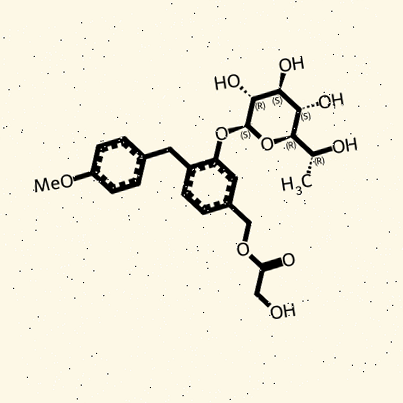 COc1ccc(Cc2ccc(COC(=O)CO)cc2O[C@@H]2O[C@H]([C@@H](C)O)[C@@H](O)[C@H](O)[C@H]2O)cc1